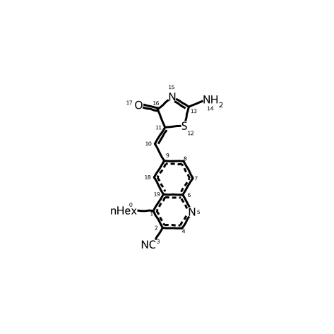 CCCCCCc1c(C#N)cnc2ccc(/C=C3\SC(N)=NC3=O)cc12